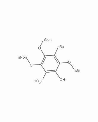 CCCCCCCCCOc1c(CCCC)c(OCCCC)c(O)c(C(=O)O)c1OCCCCCCCCC